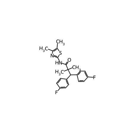 Cc1nc(NC(=O)C(C)(C)C(c2ccc(F)cc2)c2ccc(F)cc2)sc1C